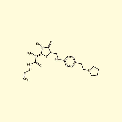 C=CCNC(=O)/C(N)=C1\S[C@H](CNc2ccc(CCN3CCCC3)cc2)C(=O)N1CC